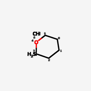 C1CC[SiH2]OC1.[CH]